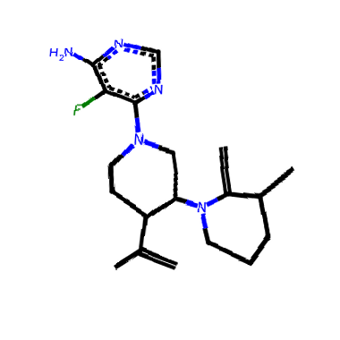 C=C(C)C1CCN(c2ncnc(N)c2F)CC1N1CCCC(C)C1=C